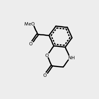 COC(=O)c1cccc2c1OC(=O)CN2